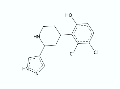 Oc1ccc(Cl)c(Cl)c1C1CCNC(c2cn[nH]c2)C1